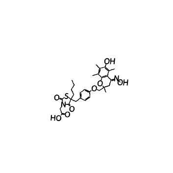 CCCCC1(Cc2ccc(OCC3(C)CC(=NO)c4c(C)c(O)c(C)c(C)c4O3)cc2)SC(=O)N(CC(=O)O)C1=O